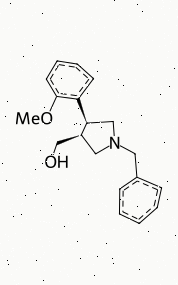 COc1ccccc1[C@H]1CN(Cc2ccccc2)C[C@H]1CO